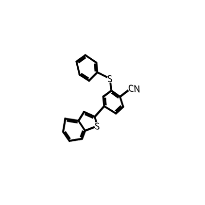 N#Cc1ccc(-c2cc3ccccc3s2)cc1Sc1ccccc1